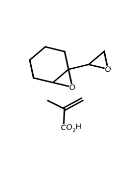 C1CCC2(C3CO3)OC2C1.C=C(C)C(=O)O